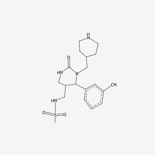 CS(=O)(=O)NCC1CNC(=O)N(CC2CCNCC2)C1c1cccc(C#N)c1